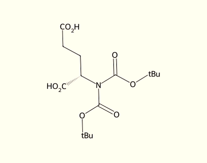 CC(C)(C)OC(=O)N(C(=O)OC(C)(C)C)[C@@H](CCC(=O)O)C(=O)O